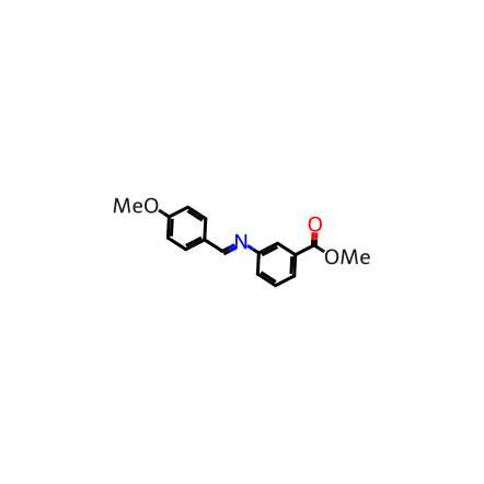 COC(=O)c1cccc(/N=C/c2ccc(OC)cc2)c1